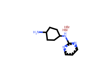 Br.Br.NC1CCC(Nc2ncccn2)CC1